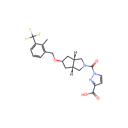 Cc1c(CO[C@H]2C[C@@H]3CN(C(=O)n4ccc(C(=O)O)n4)C[C@@H]3C2)cccc1C(F)(F)F